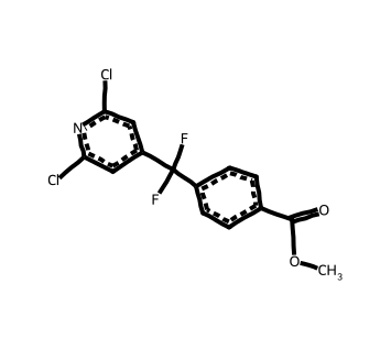 COC(=O)c1ccc(C(F)(F)c2cc(Cl)nc(Cl)c2)cc1